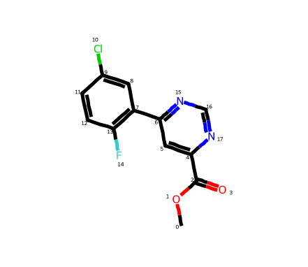 COC(=O)c1cc(-c2cc(Cl)ccc2F)ncn1